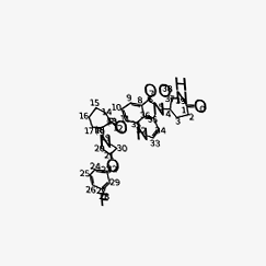 O=C1CCC(N2C(=O)c3ccc(O[C@@H]4CCCC[C@H]4N4CC(Oc5cccc(F)c5)C4)c4nccc2c34)C(=O)N1